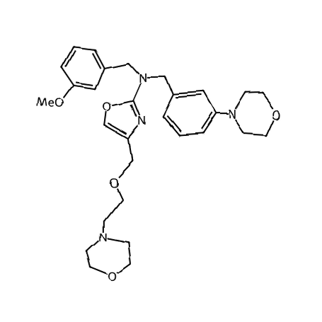 COc1cccc(CN(Cc2cccc(N3CCOCC3)c2)c2nc(COCCN3CCOCC3)co2)c1